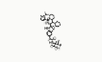 CC(C)n1nccc1C(=O)N[C@H](C(=O)Nc1ccc([C@H](C)C(=O)NC(C)(C(=O)O)C(F)(F)F)cc1F)C(C1CCCCC1)C1CCCCC1